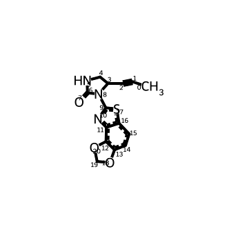 CC#CC1CNC(=O)N1c1nc2c3c(ccc2s1)OCO3